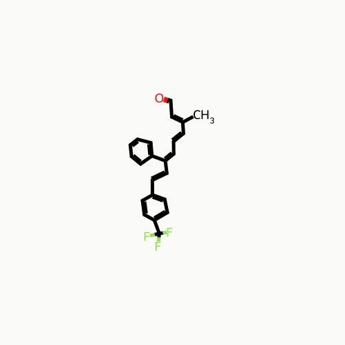 CC(C=CC=C(C=Cc1ccc(C(F)(F)F)cc1)c1ccccc1)=CC=O